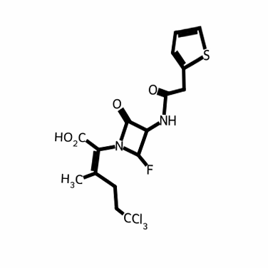 CC(CCC(Cl)(Cl)Cl)=C(C(=O)O)N1C(=O)C(NC(=O)Cc2cccs2)C1F